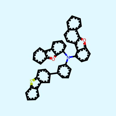 c1cc(-c2ccc3sc4ccccc4c3c2)cc(N(c2cccc3c2oc2ccccc23)c2cccc3oc4c5ccccc5ccc4c23)c1